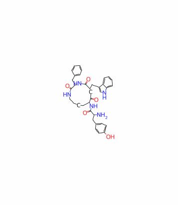 NC(Cc1ccc(O)cc1)C(=O)NC1CCCCNC(=O)C(Cc2ccccc2)NC(=O)C(Cc2c[nH]c3ccccc23)CC1=O